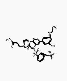 CCOc1cc(Cl)cc(-c2cnc3c(c2)N(S(=O)(=O)c2cccc(C(F)(F)F)c2)C[C@@H]2CN(CCC(=O)O)CCN32)c1